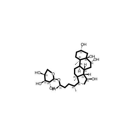 CC(C)[C@H](CC[C@@H](C)[C@H]1C[C@H](O)[C@H]2[C@H]3C[C@@H](O)[C@@]4(O)C[C@@H](O)CC[C@]4(C)[C@@H]3CC[C@@]21C)O[C@@H]1OC[C@H](O)[C@H](O)[C@H]1O